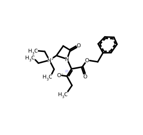 CC/C([O-])=C(\C(=O)OCc1ccccc1)N1C(=O)CC1[N+](CC)(CC)CC